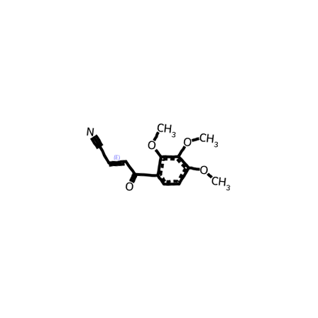 COc1ccc(C(=O)/C=C/C#N)c(OC)c1OC